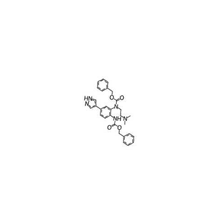 CN(C)CCN(C(=O)OCc1ccccc1)c1cc(-c2cn[nH]c2)ccc1NC(=O)OCc1ccccc1